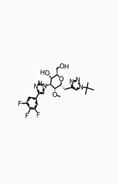 CO[C@@H]1[C@@H](n2cc(-c3cc(F)c(F)c(F)c3)nn2)[C@@H](O)[C@@H](CO)O[C@@H]1Cc1cn(C(C)(C)C)nn1